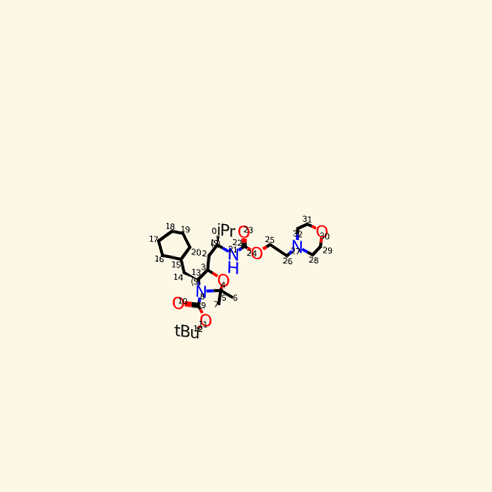 CC(C)[C@H](CC1OC(C)(C)N(C(=O)OC(C)(C)C)[C@H]1CC1CCCCC1)NC(=O)OCCN1CCOCC1